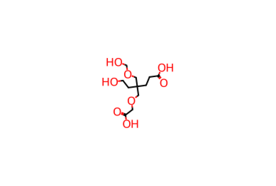 O=C(O)CCC(CCO)(COCO)COCC(=O)O